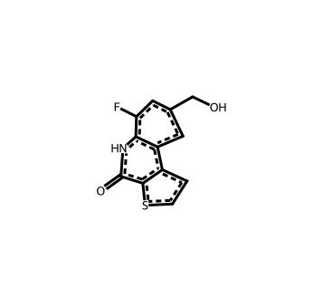 O=c1[nH]c2c(F)cc(CO)cc2c2ccsc12